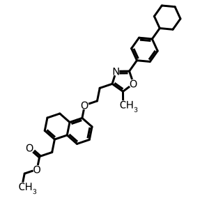 CCOC(=O)CC1=CCCc2c(OCCc3nc(-c4ccc(C5CCCCC5)cc4)oc3C)cccc21